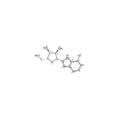 OC[C@H]1OC(c2nc3ncnc(Cl)c3[nH]2)[C@H](O)[C@@H]1O